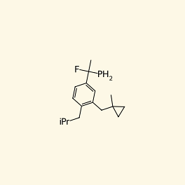 CC(C)Cc1ccc(C(C)(F)P)cc1CC1(C)CC1